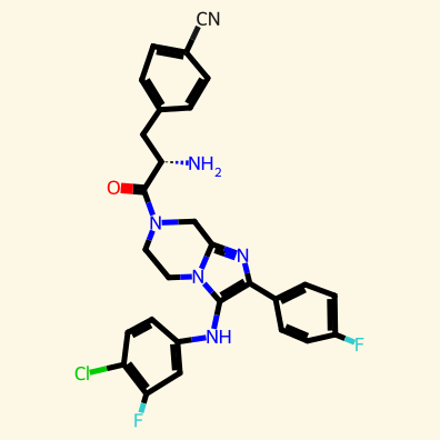 N#Cc1ccc(C[C@H](N)C(=O)N2CCn3c(nc(-c4ccc(F)cc4)c3Nc3ccc(Cl)c(F)c3)C2)cc1